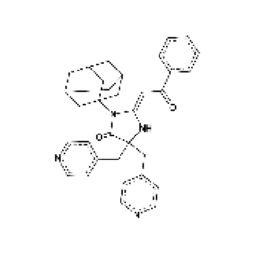 O=C(C=C1NC(Cc2ccncc2)(Cc2ccncc2)C(=O)N1C12CC3CC(CC(C3)C1)C2)c1ccccc1